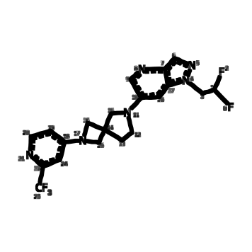 FC(F)Cn1ncc2ncc(N3CCC4(C3)CN(c3ccnc(C(F)(F)F)c3)C4)cc21